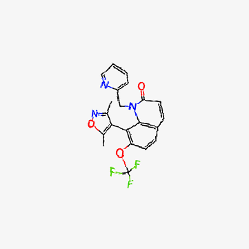 Cc1noc(C)c1-c1c(OC(F)(F)F)ccc2ccc(=O)n(Cc3ccccn3)c12